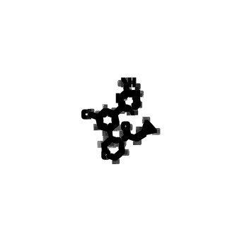 Nc1ncnc(-c2cc(Cl)cc([C@@H]3COCCN3C(=O)C=C3CC3)c2)n1